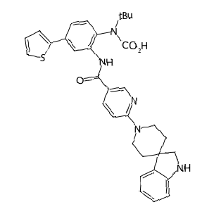 CC(C)(C)N(C(=O)O)c1ccc(-c2cccs2)cc1NC(=O)c1ccc(N2CCC3(CC2)CNc2ccccc23)nc1